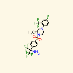 C[C@@H]1CN(c2ccc(F)cc2C(F)(F)F)CCN1S(=O)(=O)c1ccc(C(N)(C(F)(F)F)C(F)(F)F)cc1